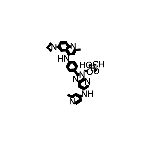 Cc1cc(Nc2cnc3c(c2)nc(-c2ccc(Nc4cc(C)nc5ccc(N6CCC6)cc45)cc2)n3COP(=O)(O)O)ccn1